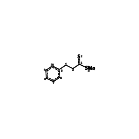 CSC(=S)CCc1ccccc1